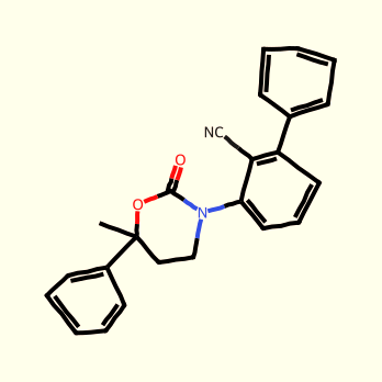 CC1(c2ccccc2)CCN(c2cccc(-c3ccccc3)c2C#N)C(=O)O1